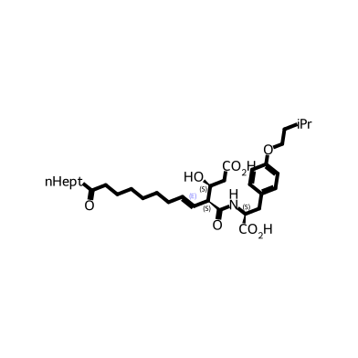 CCCCCCCC(=O)CCCCCC/C=C/[C@H](C(=O)N[C@@H](Cc1ccc(OCCC(C)C)cc1)C(=O)O)[C@@H](O)CC(=O)O